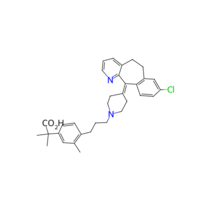 Cc1cc(C(C)(C)C(=O)O)ccc1CCCN1CCC(=C2c3ccc(Cl)cc3CCc3cccnc32)CC1